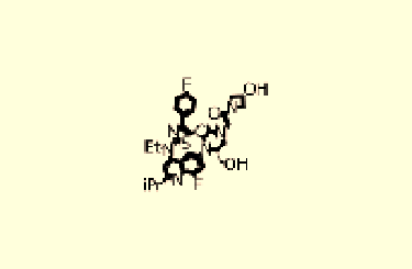 CCN(c1nc(-c2ccc(F)cc2)c(C#N)s1)c1cc(C(C)C)nc2c(F)cc(N3CCN(CC(=O)N4CC(O)C4)C[C@@H]3CO)cc12